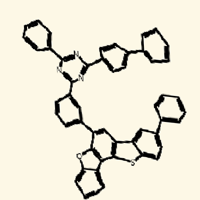 c1ccc(-c2ccc(-c3nc(-c4ccccc4)nc(-c4cccc(-c5cc6c7cc(-c8ccccc8)ccc7sc6c6c5oc5ccccc56)c4)n3)cc2)cc1